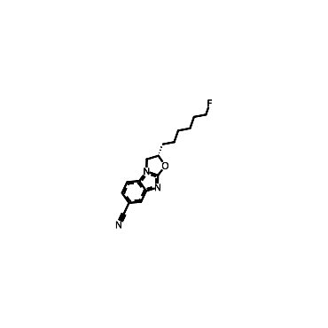 N#Cc1ccc2c(c1)nc1n2C[C@H](CCCCCCF)O1